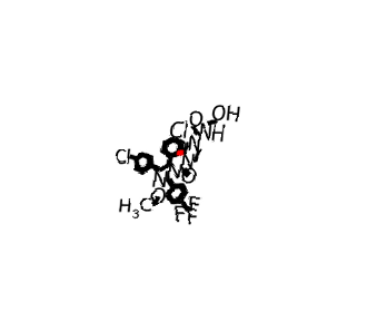 CCOc1cc(C(F)(F)F)ccc1C1=NC(c2ccc(Cl)cc2)C(c2ccc(Cl)cc2)N1C(=O)N1CCN(C(C=O)NCCO)CC1